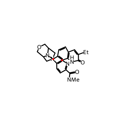 CCc1cc2ccc(CN3C4COCC3CN(c3ccc(C(=O)NC)nc3)C4)cc2[nH]c1=O